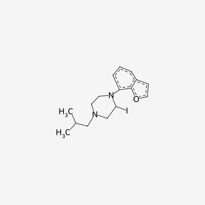 CC(C)CN1CCN(c2cccc3ccoc23)C(I)C1